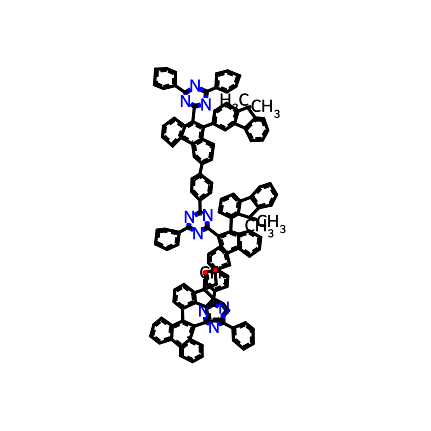 CC1(C)c2ccccc2-c2cc(-c3c(-c4nc(-c5ccccc5)nc(-c5ccccc5)n4)c4ccccc4c4cc(-c5ccc(-c6nc(-c7ccccc7)nc(-c7c(-c8cccc9c8C(C)(C)c8ccccc8-9)c8ccccc8c8cc(CC9(C)c%10ccccc%10-c%10c(-c%11c(-c%12nc(-c%13ccccc%13)nc(-c%13ccccc%13)n%12)c%12ccccc%12c%12ccccc%11%12)cccc%109)ccc78)n6)cc5)ccc34)ccc21